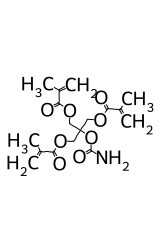 C=C(C)C(=O)OCC(COC(=O)C(=C)C)(COC(=O)C(=C)C)OC(N)=O